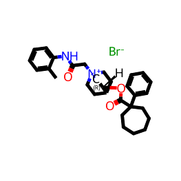 Cc1ccccc1NC(=O)C[N+]12CCC(CC1)[C@@H](OC(=O)C1(c3ccccc3)CCCCCC1)C2.[Br-]